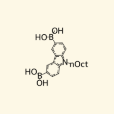 CCCCCCCCn1c2ccc(B(O)O)cc2c2cc(B(O)O)ccc21